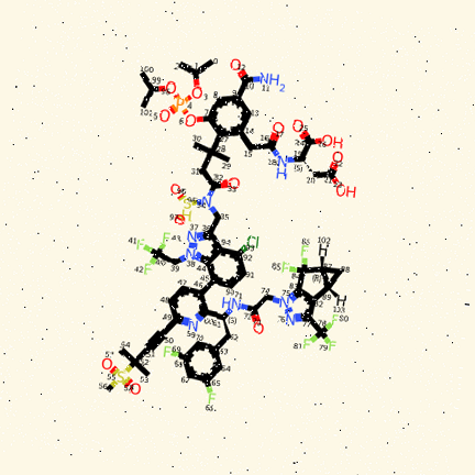 CC(C)OP(=O)(Oc1cc(C(N)=O)cc(CC(=O)N[C@@H](CC(=O)O)C(=O)O)c1C(C)(C)CC(=O)N(Cc1nn(CC(F)(F)F)c2c(-c3ccc(C#CC(C)(C)S(C)(=O)=O)nc3[C@H](Cc3cc(F)cc(F)c3)NC(=O)Cn3nc(C(F)(F)F)c4c3C(F)(F)[C@@H]3C[C@H]43)ccc(Cl)c12)[SH](=O)=O)OC(C)C